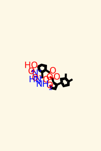 Cc1ccc(-c2ccoc2C(=O)OC(=O)c2ccc(O)c([N+](=O)[O-])c2C(=O)NN)cc1C